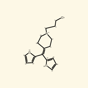 ClCCCN1CCC(=C(c2ccco2)c2ccco2)CC1